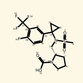 CS(=O)(=O)N(C[C@@H]1CCCN1C(=O)O)C1(c2ccc(F)c(C(F)(F)F)c2)CC1